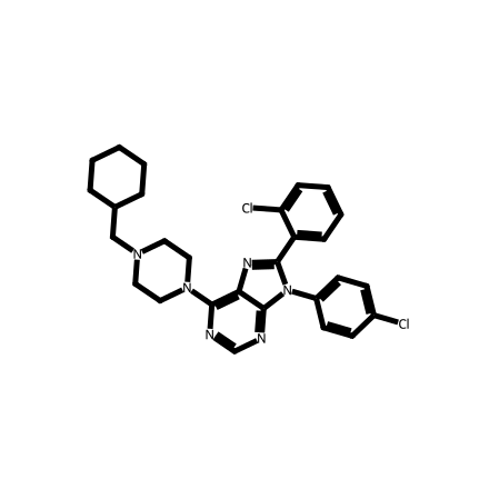 Clc1ccc(-n2c(-c3ccccc3Cl)nc3c(N4CCN(CC5CCCCC5)CC4)ncnc32)cc1